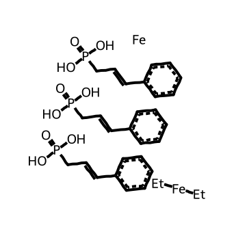 C[CH2][Fe][CH2]C.O=P(O)(O)CC=Cc1ccccc1.O=P(O)(O)CC=Cc1ccccc1.O=P(O)(O)CC=Cc1ccccc1.[Fe]